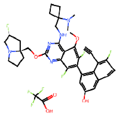 C#Cc1c(F)ccc2cc(O)cc(-c3c(F)c(OC)c4c(NCC5(N(C)C)CCC5)nc(OC[C@@]56CCCN5C[C@H](F)C6)nc4c3F)c12.O=C(O)C(F)(F)F